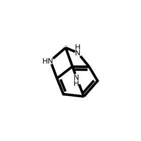 c1c2cc3cc1N[C](N2)N3